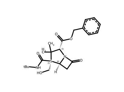 CC(C)(C)NC(=O)[S@]1(CO)[C@@H]2CC(=O)N2[C@@H](C(=O)OCc2ccccc2)C1(C)C